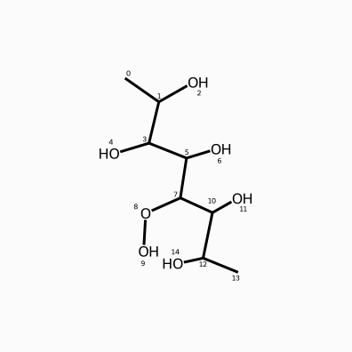 CC(O)C(O)C(O)C(OO)C(O)C(C)O